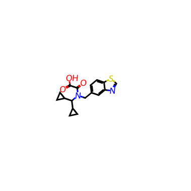 O=C(O)C(=O)N(Cc1ccc2scnc2c1)C(C1CC1)C1CC1